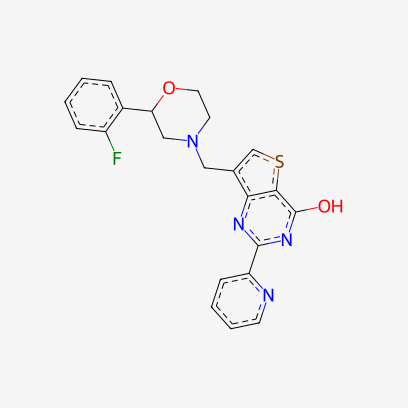 Oc1nc(-c2ccccn2)nc2c(CN3CCOC(c4ccccc4F)C3)csc12